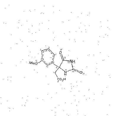 COc1cccc(C2(CC(=O)O)NC(=O)NC2=O)c1